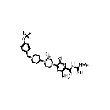 CC[C@H]1CN(c2nc(N)c(C(=O)NC(=N)NC)nc2Cl)CCN1C1CCN(Cc2ccc(OC(C)(F)F)cc2)CC1